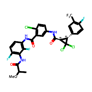 COC(C)C(=O)Nc1c(F)ccc(NC(=O)c2cc(NC(=O)[C@H]3[C@H](c4ccc(F)c(C(F)(F)F)c4)C3(Cl)Cl)ccc2Cl)c1F